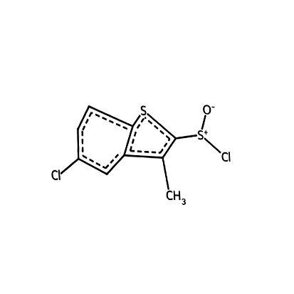 Cc1c([S+]([O-])Cl)sc2ccc(Cl)cc12